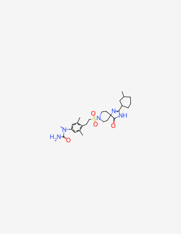 Cc1cc(N(C)C(N)=O)cc(C)c1CCS(=O)(=O)N1CCC2(CC1)N=C(C1CCCC(C)C1)NC2=O